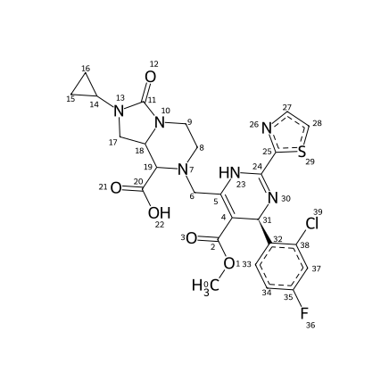 COC(=O)C1=C(CN2CCN3C(=O)N(C4CC4)CC3C2C(=O)O)NC(c2nccs2)=N[C@H]1c1ccc(F)cc1Cl